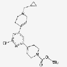 CC(C)(C)OC(=O)N1CC=C(c2cc(C3=CCN(CC4CC4)CC3)cc(Cl)n2)CC1